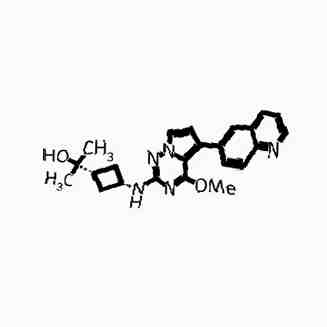 COc1nc(N[C@H]2C[C@@H](C(C)(C)O)C2)nn2ccc(-c3ccc4ncccc4c3)c12